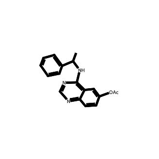 CC(=O)Oc1ccc2ncnc(NC(C)c3ccccc3)c2c1